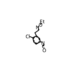 CCON=CCc1cc(N=C=O)ccc1Cl